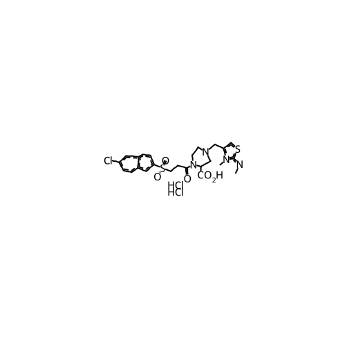 CN=c1scc(CN2CCN(C(=O)CCS(=O)(=O)c3ccc4cc(Cl)ccc4c3)C(C(=O)O)C2)n1C.Cl.Cl